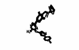 Cc1cc(-c2cnc(N)c(Oc3cnn(C4CCN(C)CC4)c3)n2)cc(C)c1CNc1ncco1